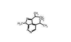 CC(C)c1cnnc2c1c(C(C)C)nn2C